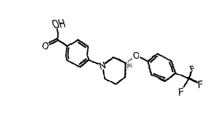 O=C(O)c1ccc(N2CCC[C@@H](Oc3ccc(C(F)(F)F)cc3)C2)cc1